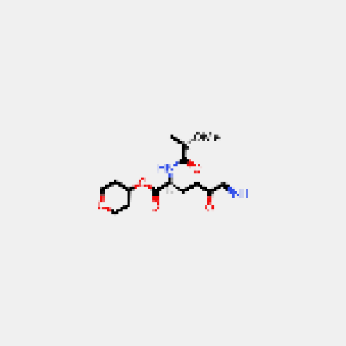 CO[C@@H](C)C(=O)N[C@@H](CCC(=O)C=N)C(=O)OC1CCOCC1